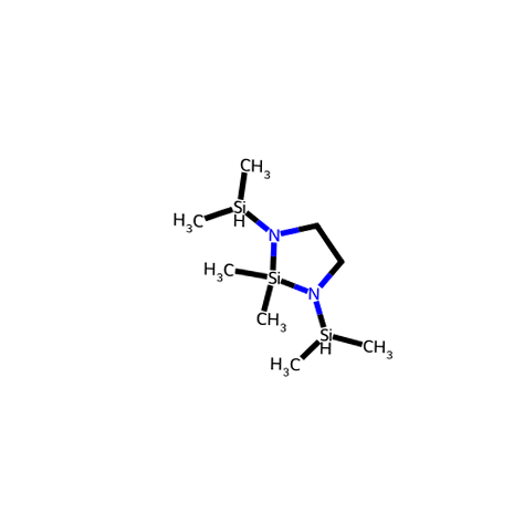 C[SiH](C)N1CCN([SiH](C)C)[Si]1(C)C